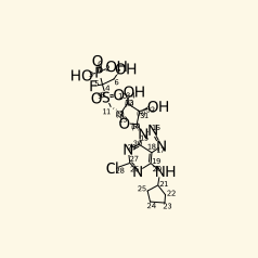 O=P(O)(O)C(F)(CO)S(=O)(=O)C[C@H]1O[C@@H](n2nnc3c(NC4CCCC4)nc(Cl)nc32)[C@H](O)[C@@H]1O